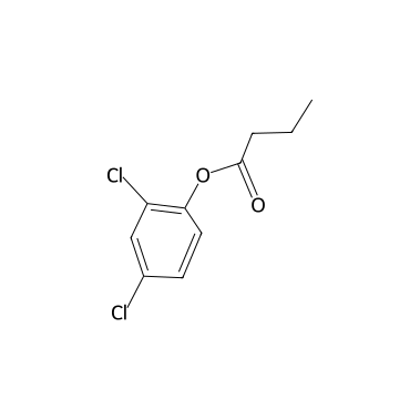 CCCC(=O)Oc1ccc(Cl)cc1Cl